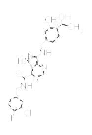 C=C(O)c1ccc(CNc2n[nH]c3c(C(=O)NCc4ccc(F)c(Cl)c4)ncnc23)cc1C